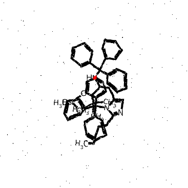 CCCCc1ncc(CC(NC(c2ccccc2)(c2ccccc2)c2ccccc2)[C@@H](O[SiH](C)C)C(C)(C)C)n1C(c1ccccc1)(c1ccccc1)c1ccccc1